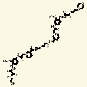 COc1cc(NC(=O)C[n+]2cccc(C(=O)NCCSCCNOCc3ccc[n+](CC(=O)Nc4ccc(NNC(=O)C(=O)NCCCN5CCOCC5)c(OC)c4)c3)c2)ccc1NNC(=O)C(=O)NCCO